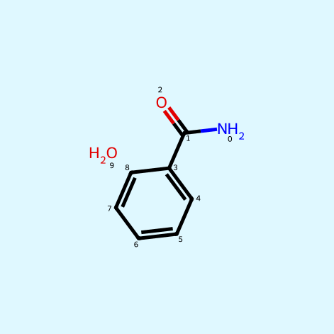 NC(=O)c1ccccc1.O